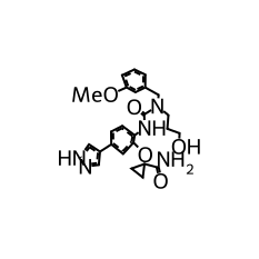 COc1cccc(CN(CCCO)C(=O)Nc2ccc(-c3cn[nH]c3)cc2OC2(C(N)=O)CC2)c1